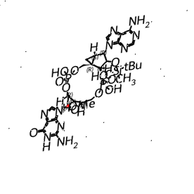 CO[C@H]1[C@H]2OP(=O)(O)OC[C@@]34C[C@@H]3[C@@H](n3cnc5c(N)ncnc53)C(O[Si](C)(C)C(C)(C)C)[C@@H]4OP(=O)(O)OC[C@H]1O[C@H]2n1cnc2c(=O)[nH]c(N)nc21